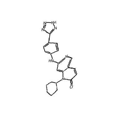 O=c1ccc2cnc(Nc3ccc(-c4nn[nH]n4)cc3)cc2n1C1CCCCC1